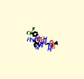 N=C(c1ccnc2nc(NCCNS(=O)(=O)C3CC3)[nH]c12)N(O)c1ccc(F)c(Cl)c1